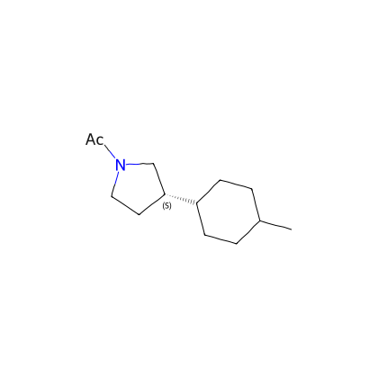 CC(=O)N1CC[C@@H](C2CCC(C)CC2)C1